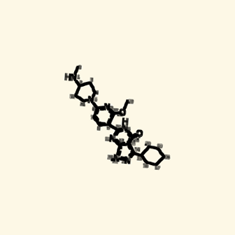 CNC1CCN(c2ccc(-c3nc4c(c(C5CCCCC5)nn4C)c(=O)[nH]3)c(OC)n2)CC1